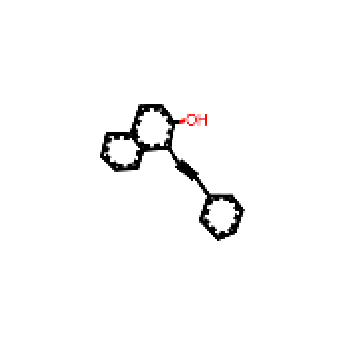 Oc1ccc2ccccc2c1C#Cc1ccccc1